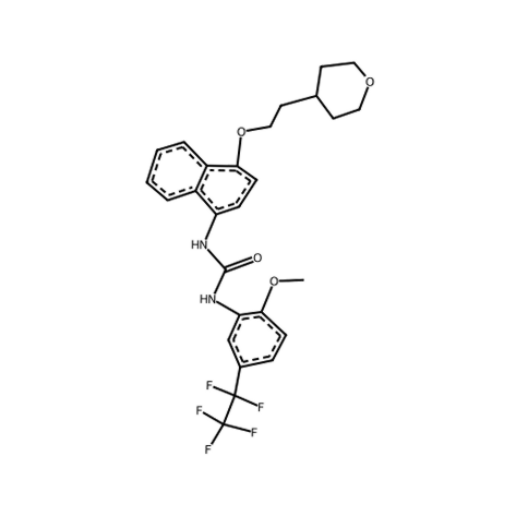 COc1ccc(C(F)(F)C(F)(F)F)cc1NC(=O)Nc1ccc(OCCC2CCOCC2)c2ccccc12